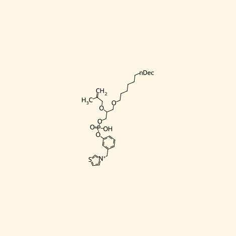 C=C(C)COC(COCCCCCCCCCCCCCCCC)COP(=O)(O)Oc1cccc(C[n+]2ccsc2)c1